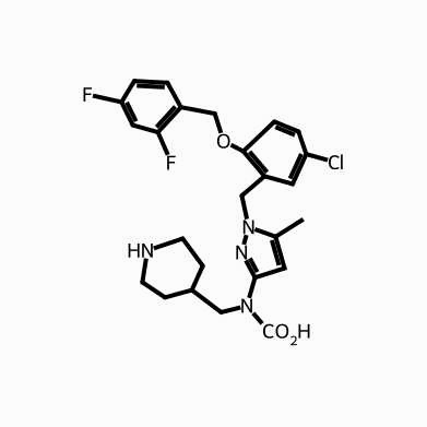 Cc1cc(N(CC2CCNCC2)C(=O)O)nn1Cc1cc(Cl)ccc1OCc1ccc(F)cc1F